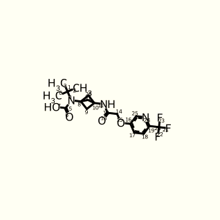 CC(C)(C)N(C(=O)O)C12CC(NC(=O)COc3ccc(C(F)(F)F)nc3)(C1)C2